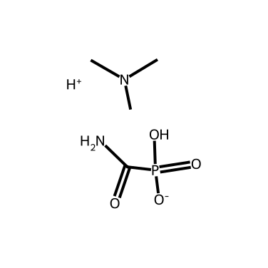 CN(C)C.NC(=O)P(=O)([O-])O.[H+]